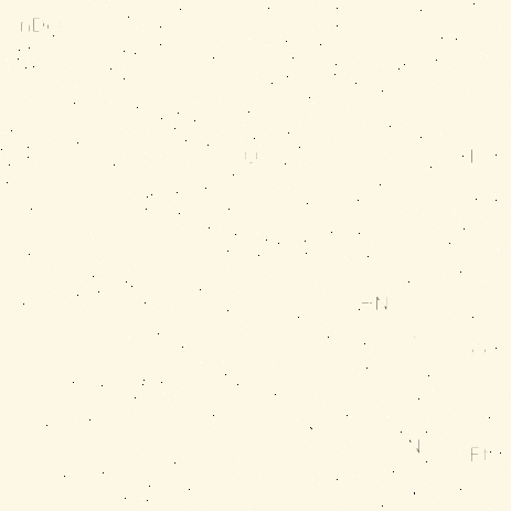 CCCCCCCCCCCCCCOc1cccc(CNC(=O)c2cccc[n+]2CC)c1C.[I-]